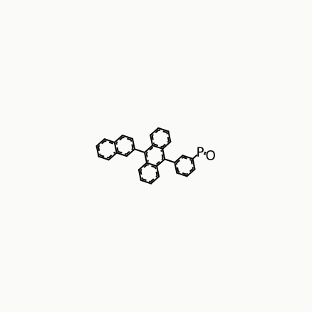 O=Pc1cccc(-c2c3ccccc3c(-c3ccc4ccccc4c3)c3ccccc23)c1